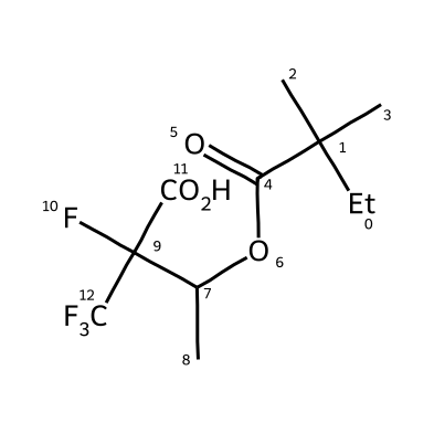 CCC(C)(C)C(=O)OC(C)C(F)(C(=O)O)C(F)(F)F